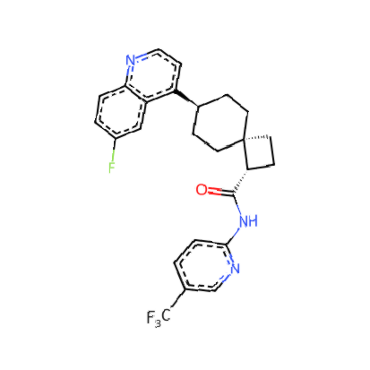 O=C(Nc1ccc(C(F)(F)F)cn1)[C@H]1CC[C@]12CC[C@H](c1ccnc3ccc(F)cc31)CC2